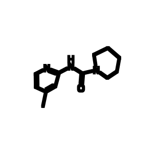 Cc1ccnc(NC(=O)N2CCCCC2)c1